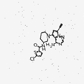 C#Cc1cc(N2CCCC(NC(=O)c3ccc(Cl)s3)C2)c2c(N)ncnn12